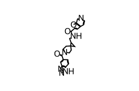 O=C(NCC1CC12CCN(C(=O)c1ccc3[nH]nnc3c1)CC2)c1cc2ccncc2o1